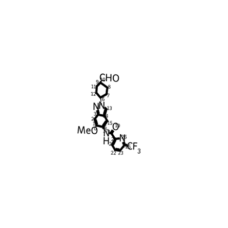 COc1cc2nn([C@H]3CC[C@H](C=O)CC3)cc2cc1NC(=O)c1cccc(C(F)(F)F)n1